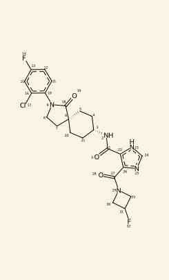 O=C(N[C@H]1CC[C@@]2(CCN(c3ccc(F)cc3Cl)C2=O)CC1)c1[nH]cnc1C(=O)N1CC(F)C1